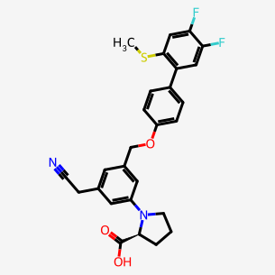 CSc1cc(F)c(F)cc1-c1ccc(OCc2cc(CC#N)cc(N3CCC[C@H]3C(=O)O)c2)cc1